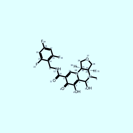 CN1C(O)c2c(O)c(=O)c(C(=O)NCc3c(F)cc(F)cc3F)cn2[C@H]2COC[C@H]21